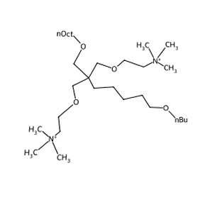 CCCCCCCCOCC(CCCCCOCCCC)(COCC[N+](C)(C)C)COCC[N+](C)(C)C